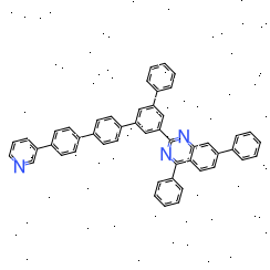 c1ccc(-c2cc(-c3ccc(-c4ccc(-c5cccnc5)cc4)cc3)cc(-c3nc(-c4ccccc4)c4ccc(-c5ccccc5)cc4n3)c2)cc1